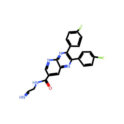 N=CCNC(=O)c1cnc2nc(-c3ccc(F)cc3)c(-c3ccc(F)cc3)nc2c1